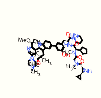 CCn1c(-c2cc(N3CCN(C)CC3)cnc2[C@H](C)OC)c(CC(C)(C)COC=O)c2cc(-c3cc(O)cc(C[C@H](NC(=O)[C@H](C4CCCC4)N(C)C(=O)CN(C)C(=O)[C@@H]4N[C@@H]4C4CC4)C(=O)N4CCCCN4)c3)ccc21